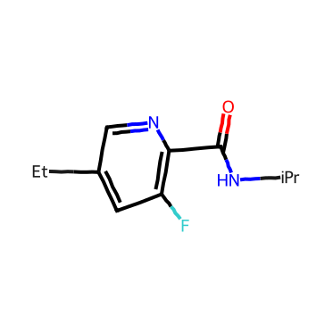 CCc1cnc(C(=O)NC(C)C)c(F)c1